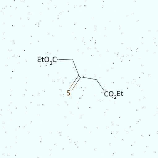 CCOC(=O)CC(=S)CC(=O)OCC